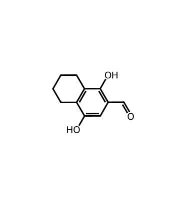 O=Cc1cc(O)c2c(c1O)CCCC2